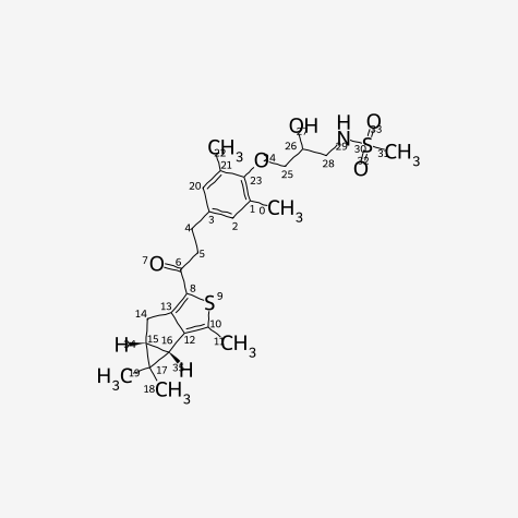 Cc1cc(CCC(=O)c2sc(C)c3c2C[C@@H]2[C@H]3C2(C)C)cc(C)c1OCC(O)CNS(C)(=O)=O